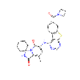 Cc1cc(Nc2ncnc3sc4c(c23)CC[C@H](C(=O)N2CCC2)C4)c(=O)n2c1C(=O)NC21CCCCC1